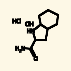 Cl.Cl.NC(=O)C1CC2CCCCC2N1